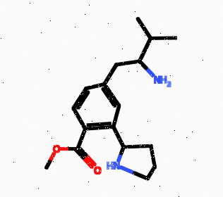 COC(=O)c1ccc(CC(N)C(C)C)cc1C1CCCN1